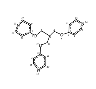 c1cc(OCC(COc2ccncc2)COc2ccncc2)ccn1